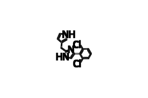 Clc1cccc(Cl)c1-c1c[nH]c(Cc2cc[nH]c2)n1